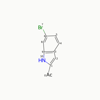 CC(=O)c1cc2ccc(Br)cc2[nH]1